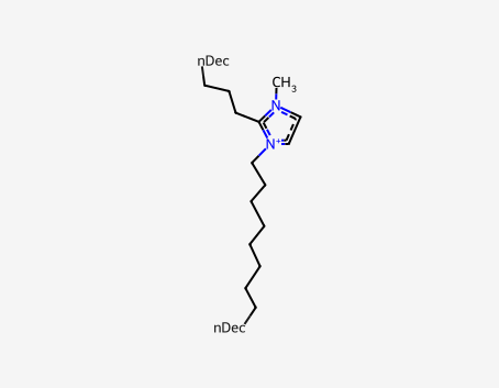 CCCCCCCCCCCCCCCCCC[n+]1ccn(C)c1CCCCCCCCCCCCC